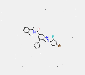 C[C@@H]1c2ccccc2CCN1C(=O)c1cc(-c2ccccc2)c2cn(-c3ccc(Br)cc3F)nc2c1